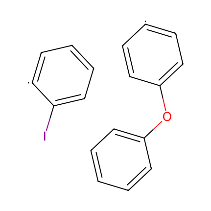 Ic1[c]cccc1.[c]1ccc(Oc2ccccc2)cc1